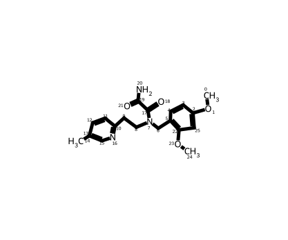 COc1ccc(CN(CCc2ccc(C)cn2)C(=O)C(N)=O)c(OC)c1